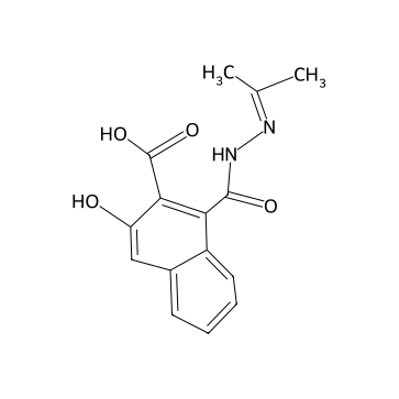 CC(C)=NNC(=O)c1c(C(=O)O)c(O)cc2ccccc12